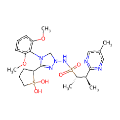 COc1cccc(OC)c1N1CN(NS(=O)(=O)[C@@H](C)[C@H](C)c2ncc(C)cn2)N=C1C1CCCS1(O)O